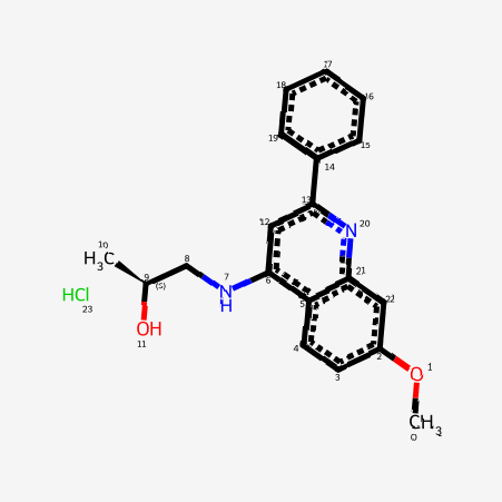 COc1ccc2c(NC[C@H](C)O)cc(-c3ccccc3)nc2c1.Cl